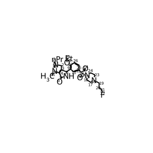 CCCN1CC2=C(C(=O)NC2c2cc(S(=O)(=O)N3CCN(CCCF)CC3)ccc2OCC)N(C)C1